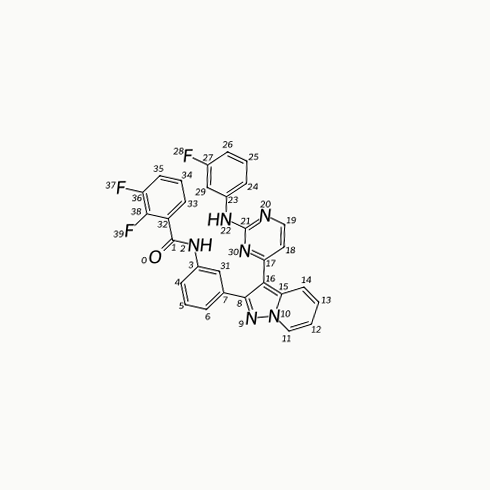 O=C(Nc1cccc(-c2nn3ccccc3c2-c2ccnc(Nc3cccc(F)c3)n2)c1)c1cccc(F)c1F